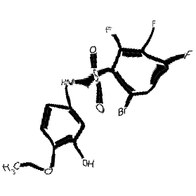 COc1ccc(NS(=O)(=O)c2c(Br)cc(F)c(F)c2F)cc1O